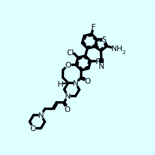 N#Cc1c(N)sc2c(F)ccc(-c3c(F)cc4c(c3Cl)OCC[C@H]3CN(C(=O)/C=C/CN5CCOCC5)CCN3C4=O)c12